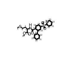 COC(=O)C(CCSC)NC(=O)c1ccc(S(=O)(=O)c2ccccn2)cc1-c1ccccc1